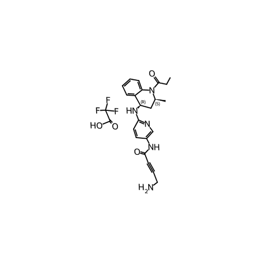 CCC(=O)N1c2ccccc2[C@H](Nc2ccc(NC(=O)C#CCN)cn2)C[C@@H]1C.O=C(O)C(F)(F)F